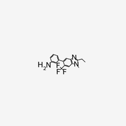 CCc1nc2cc(-c3cccc(N)c3)c(C(F)(F)F)cc2n1C